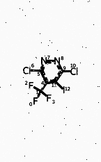 FC(F)(F)c1c(Cl)nnc(Cl)c1I